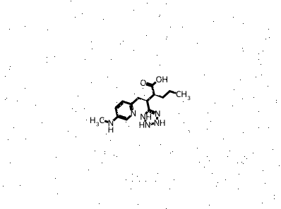 CCC[C@H](C(=O)O)[C@H](Cc1ccc(NC)cn1)C1=NNNN1